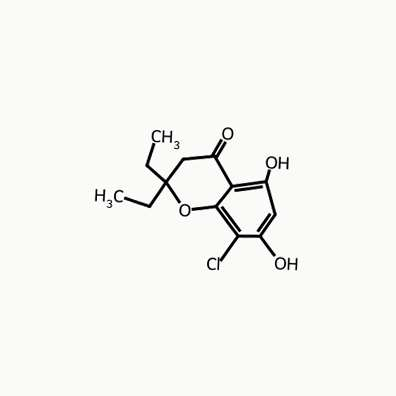 CCC1(CC)CC(=O)c2c(O)cc(O)c(Cl)c2O1